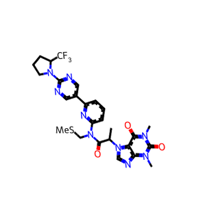 CSCN(C(=O)C(C)n1cnc2c1c(=O)n(C)c(=O)n2C)c1cccc(-c2cnc(N3CCCC3C(F)(F)F)nc2)n1